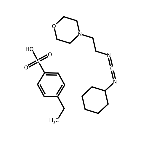 C(=NCCN1CCOCC1)=NC1CCCCC1.CCc1ccc(S(=O)(=O)O)cc1